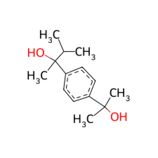 CC(C)C(C)(O)c1ccc(C(C)(C)O)cc1